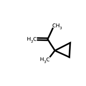 C=C(C)C1(C)CC1